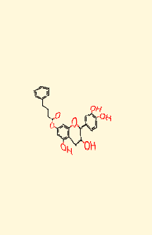 O=C(CCCc1ccccc1)Oc1cc(O)c2c(c1)OC(c1ccc(O)c(O)c1)C(O)C2